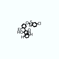 CCc1ccc(Oc2nc3ccc(Cl)cc3s2)cc1C1=C(O)C2[C@H]3CC[C@H](CC3)[C@@H]2C1=O